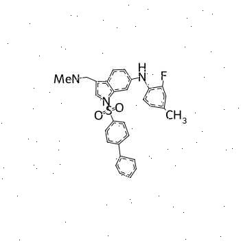 CNCc1cn(S(=O)(=O)c2ccc(-c3ccccc3)cc2)c2cc(Nc3ccc(C)cc3F)ccc12